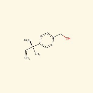 C=C[C@](C)(C(=O)O)c1ccc(CO)cc1